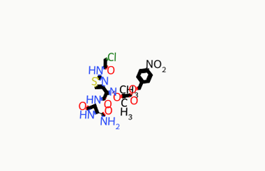 CC(C)(O/N=C(\C(=O)N[C@H]1C(=O)N[C@H]1C(N)=O)c1csc(NC(=O)CCl)n1)C(=O)OCc1ccc([N+](=O)[O-])cc1